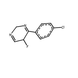 F[C]1C=NCN=C1c1ccc(Cl)cc1